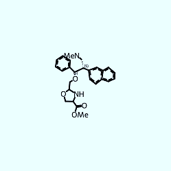 CNC[C@H](c1ccc2ccccc2c1)[C@H](OCC1NC(C(=O)OC)CO1)c1ccccc1